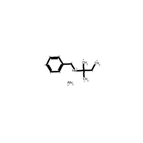 CCC(C)(C)NCc1ccccc1.[AlH3]